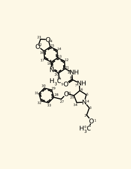 COCCN1CC(NC(=O)Nc2cc3cc4c(cc3nc2C)OCO4)C(OCc2ccccc2)C1